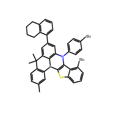 Cc1ccc2c(c1)B1c3sc4cccc(C(C)(C)C)c4c3N(c3ccc(C(C)(C)C)cc3)c3cc(-c4cccc5c4CCCC5)cc(c31)C2(C)C